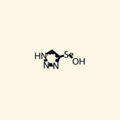 O[Se]c1c[nH]nn1